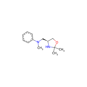 CN(C[C@H]1COC(C)(C)N1)c1ccccc1